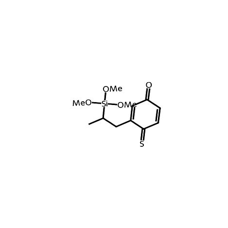 CO[Si](OC)(OC)C(C)CC1=CC(=O)C=CC1=S